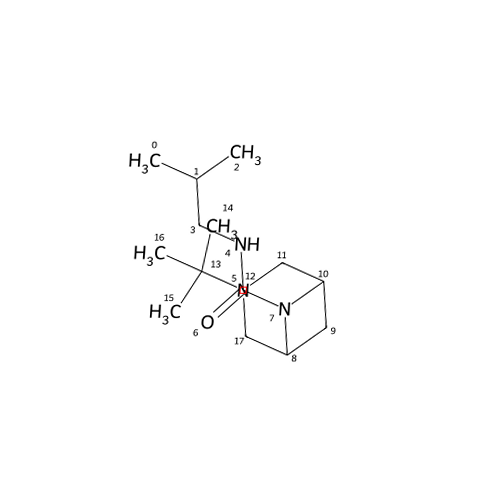 CC(C)CNC(=O)N1C2CC1CN(C(C)(C)C)C2